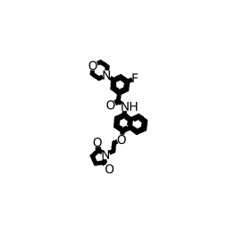 O=C(Nc1ccc(OCCN2C(=O)CCC2=O)c2ccccc12)c1cc(F)cc(N2CCOCC2)c1